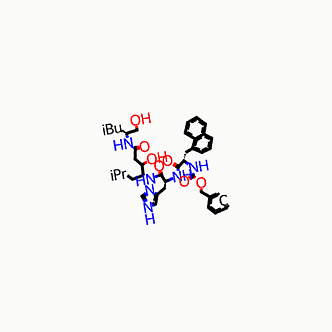 CCC(C)[C@@H](CO)NC(=O)CC(O)C(CC(C)C)NC(=O)[C@H](Cc1c[nH]cn1)NC(=O)[C@H](Cc1cccc2ccccc12)NC(=O)OCc1ccccc1